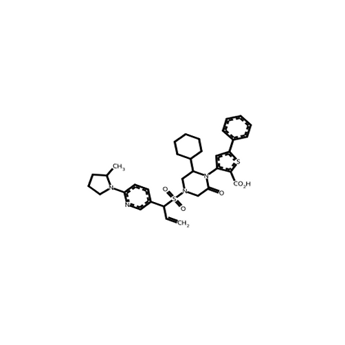 C=CC(c1ccc(N2CCCC2C)nc1)S(=O)(=O)N1CC(=O)N(c2cc(-c3ccccc3)sc2C(=O)O)C(C2CCCCC2)C1